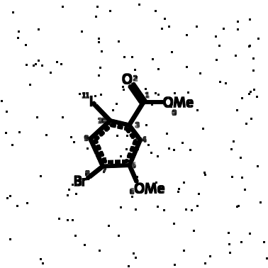 COC(=O)c1cc(OC)c(Br)cc1I